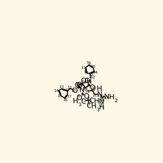 CC(C)(C)OC(=O)N(C(=O)OCc1ccccc1)[C@@](CCCNC(=N)N)(C(=O)O)C(=O)OCc1ccccc1